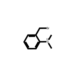 C[SiH](C)c1ccccc1CBr